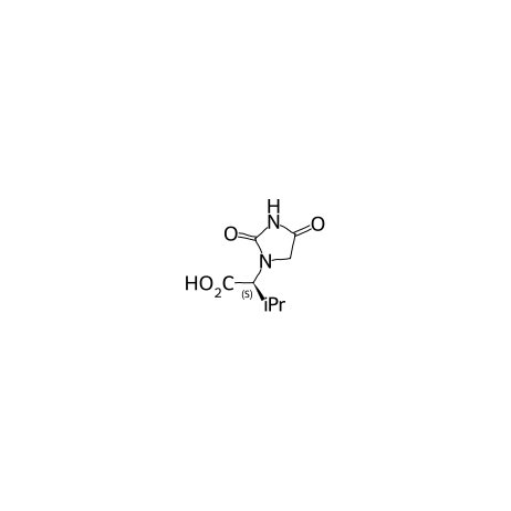 CC(C)[C@@H](C(=O)O)N1CC(=O)NC1=O